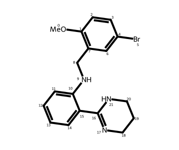 COc1ccc(Br)cc1CNc1ccccc1C1=NCCCN1